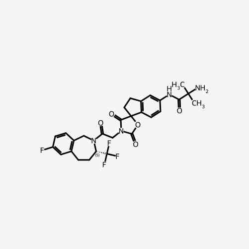 CC(C)(N)C(=O)Nc1ccc2c(c1)CCC21OC(=O)N(CC(=O)N2Cc3ccc(F)cc3CC[C@H]2C(F)(F)F)C1=O